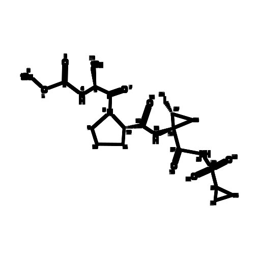 CC(C)(C)OC(=O)N[C@H](C(=O)N1CCC[C@H]1C(=O)N[C@]1(C(=O)NS(=O)(=O)C2CC2)C[C@H]1I)C(C)(C)C